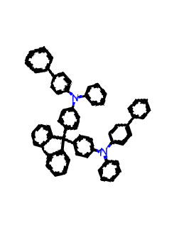 C1=C=C(N(c2ccccc2)c2ccc(C3(c4ccc(N(c5ccccc5)c5ccc(-c6ccccc6)cc5)cc4)c4ccccc4-c4ccccc43)cc2)C=CC=1c1ccccc1